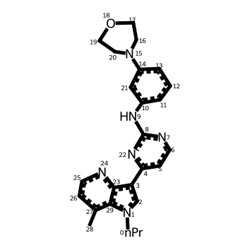 CCCn1cc(-c2ccnc(Nc3cccc(N4CCOCC4)c3)n2)c2nccc(C)c21